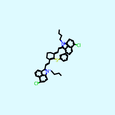 CCCCn1/c(=C/C=C2\CCCC(/C=C/C3=[N+](CCCC)c4ccc(Cl)c5cccc3c45)=C2Sc2ccccc2)c2cccc3c(Cl)ccc1c32